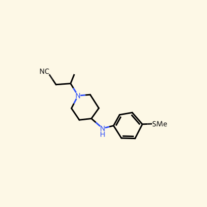 CSc1ccc(NC2CCN(C(C)CC#N)CC2)cc1